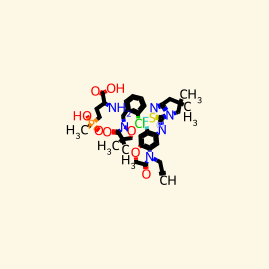 C#CCN1C(=O)COc2cc(F)c(/N=c3\snc4n3CC(C)(C)C4)cc21.CC1(C)CON(Cc2ccccc2Cl)C1=O.CP(=O)(O)CCC(N)C(=O)O